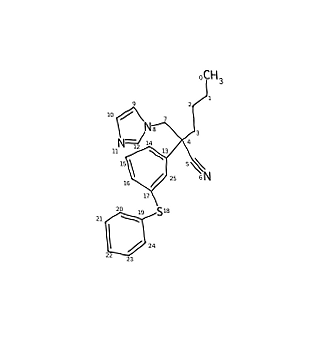 CCCCC(C#N)(Cn1ccnc1)c1cccc(Sc2ccccc2)c1